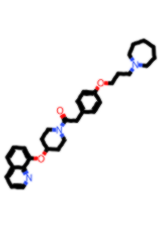 O=C(Cc1ccc(OCCCN2CCCCCC2)cc1)N1CCC(Oc2cccc3cccnc23)CC1